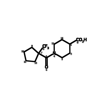 O=C(O)C1CCN(C(=O)C2(C(F)(F)F)CCCC2)CC1